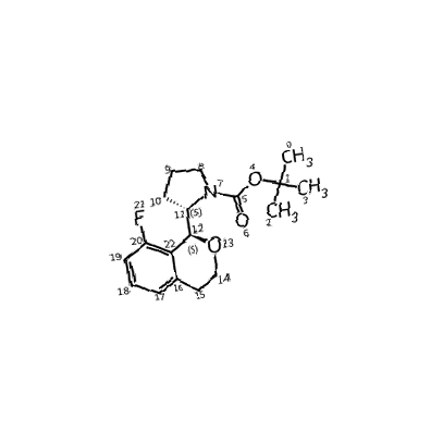 CC(C)(C)OC(=O)N1CCC[C@H]1[C@H]1OCCc2cccc(F)c21